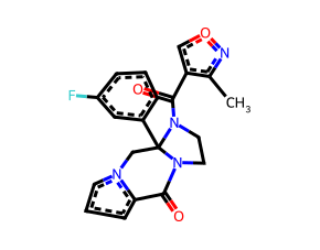 Cc1nocc1C(=O)N1CCN2C(=O)c3cccn3CC12c1cccc(F)c1